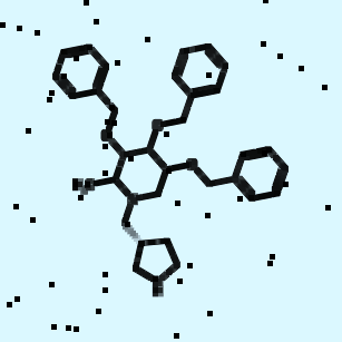 CC1C(OCc2ccccc2)C(OCc2ccccc2)C(OCc2ccccc2)CN1C[C@@H]1CCNC1